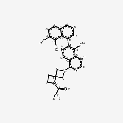 O=C(N1CCC12CN(c1ncnc3c(F)c(-c4cccc5ccc(F)c(Cl)c45)ncc13)C2)C(F)(F)F